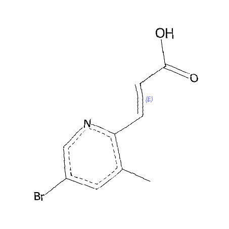 Cc1cc(Br)cnc1/C=C/C(=O)O